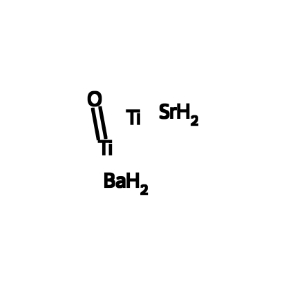 [BaH2].[O]=[Ti].[SrH2].[Ti]